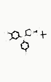 CC(C)(C)OC(=O)N1CCC(N(c2ccc(F)cc2)c2ccc(Cl)c(Cl)c2)C1